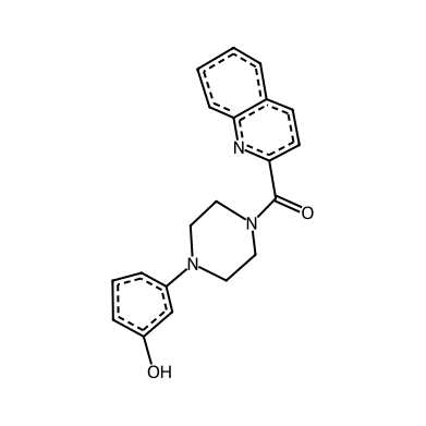 O=C(c1ccc2ccccc2n1)N1CCN(c2cccc(O)c2)CC1